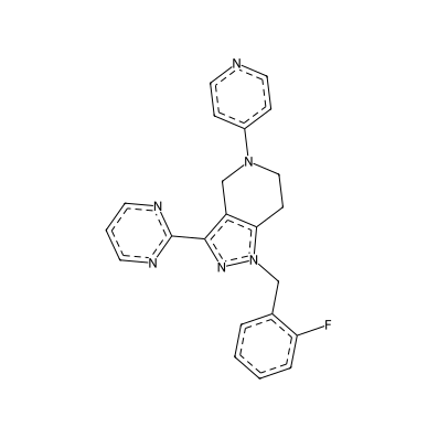 Fc1ccccc1Cn1nc(-c2ncccn2)c2c1CCN(c1ccncc1)C2